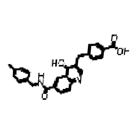 Cc1ccc(CNC(=O)c2ccc3ncc(Cc4ccc(C(=O)O)cc4)c(O)c3c2)cc1